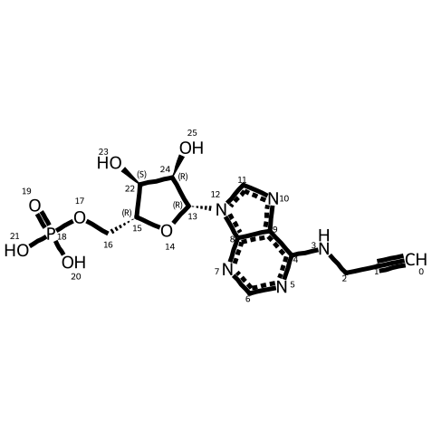 C#CCNc1ncnc2c1ncn2[C@@H]1O[C@H](COP(=O)(O)O)[C@@H](O)[C@H]1O